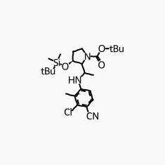 Cc1c(NC(C)C2[C@@H](O[Si](C)(C)C(C)(C)C)CCN2C(=O)OC(C)(C)C)ccc(C#N)c1Cl